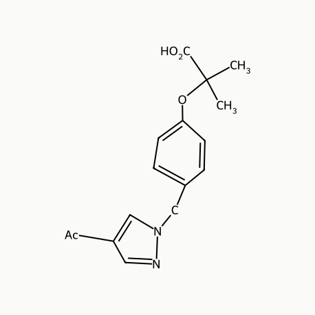 CC(=O)c1cnn(Cc2ccc(OC(C)(C)C(=O)O)cc2)c1